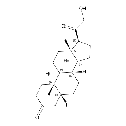 C[C@]12CCC(=O)C[C@H]1CC[C@@H]1[C@@H]2CC[C@]2(C)[C@@H](C(=O)CO)CC[C@@H]12